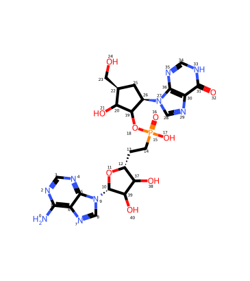 Nc1ncnc2c1ncn2[C@@H]1O[C@H](CCP(=O)(O)OC2C(O)[C@@H](CO)C[C@H]2n2cnc3c(=O)[nH]cnc32)C(O)C1O